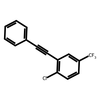 FC(F)(F)c1ccc(Cl)c(C#Cc2ccccc2)c1